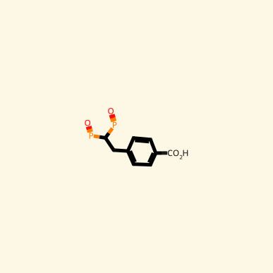 O=PC(Cc1ccc(C(=O)O)cc1)P=O